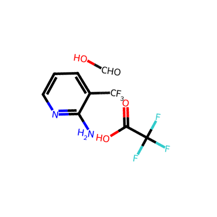 Nc1ncccc1C(F)(F)F.O=C(O)C(F)(F)F.O=CO